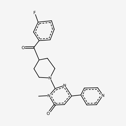 Cn1c(N2CCC(C(=O)c3cccc(F)c3)CC2)nc(-c2ccncc2)cc1=O